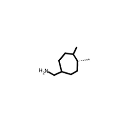 CC1CCC(CN)CC[C@H]1C